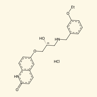 CCOc1cccc(CNC[C@@H](O)COc2ccc3[nH]c(=O)ccc3c2)c1.Cl